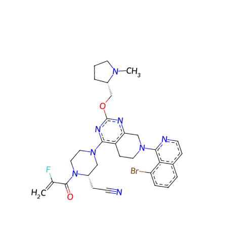 C=C(F)C(=O)N1CCN(c2nc(OC[C@@H]3CCCN3C)nc3c2CCN(c2nccc4cccc(Br)c24)C3)C[C@@H]1CC#N